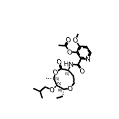 CC[C@H]1OCC[C@H](NC(=O)c2nccc(OC)c2OC(C)=O)C(=O)O[C@@H](C)[C@@H]1OCC(C)C